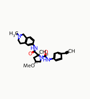 C#Cc1ccc(NC(=O)N2C[C@H](OC)C[C@]2(C)C(=O)Nc2ccc3c(c2)CCN(C)C3)cc1